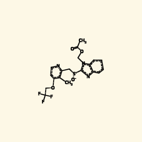 CC(=O)OCn1c([S@+]([O-])Cc2nccc(OCC(F)(F)F)c2C)nc2ccccc21